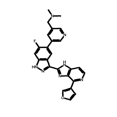 CN(C)Cc1cncc(-c2cc3c(-c4nc5c(-c6ccoc6)nccc5[nH]4)n[nH]c3cc2F)c1